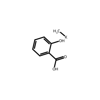 O=C(O)c1ccccc1O.[CH3][K]